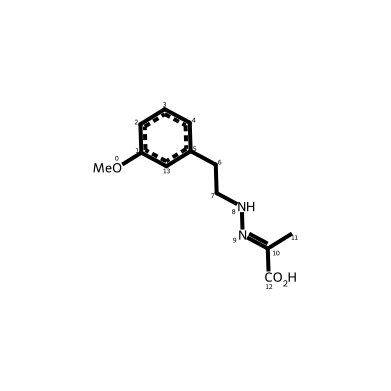 COc1cccc(CCNN=C(C)C(=O)O)c1